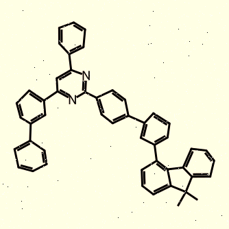 CC1(C)c2ccccc2-c2c(-c3cccc(-c4ccc(-c5nc(-c6ccccc6)cc(-c6cccc(-c7ccccc7)c6)n5)cc4)c3)cccc21